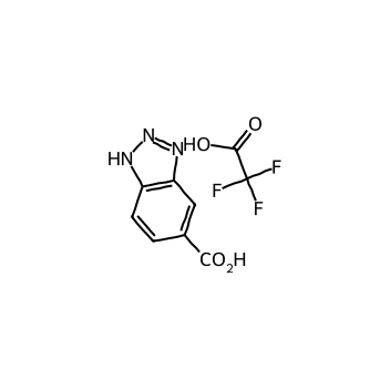 O=C(O)C(F)(F)F.O=C(O)c1ccc2[nH]nnc2c1